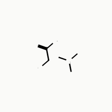 O=C(O)CO.[CH3][Al]([CH3])[CH3]